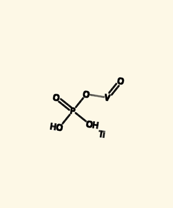 [O]=[V][O]P(=O)(O)O.[Ti]